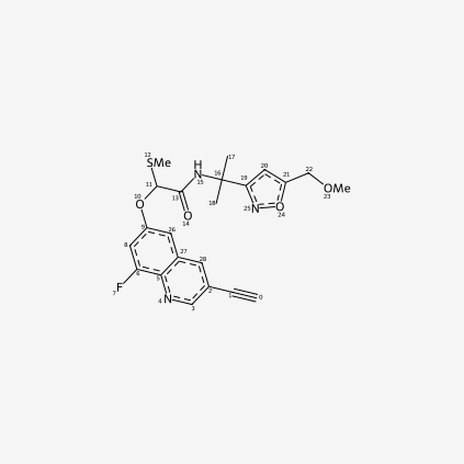 C#Cc1cnc2c(F)cc(OC(SC)C(=O)NC(C)(C)c3cc(COC)on3)cc2c1